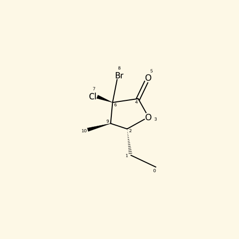 CC[C@H]1OC(=O)[C@@](Cl)(Br)[C@@H]1C